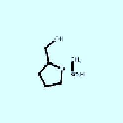 CS(=O)(=O)O.OCC1CCCO1